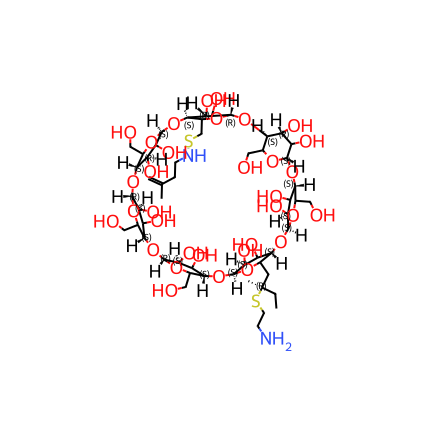 C=C(C)CCNSCC1O[C@H]2O[C@@H]3C(CO)O[C@@H](O[C@@H]4C(CO)O[C@@H](O[C@@H]5C(C[C@@](C)(CC)SCCN)O[C@@H](O[C@@H]6C(CO)O[C@H](O[C@@H]7C(CO)O[C@H](O[C@@H]8C(CO)O[C@@H](O[C@H]1[C@H](O)C2O)C(O)[C@H]8O)[C@@H](O)C7O)[C@@H](O)C6O)[C@@H](O)C5O)[C@@H](O)C4O)C(O)[C@H]3O